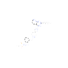 CCS(=O)(=O)Nc1cccc(CN2CCC3(CC2)CN(c2nc(NC)nc4ncccc24)C3)c1